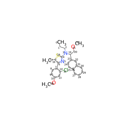 CCCN(c1nc(-c2ccc(OC)cc2Cl)c(C)s1)C(COC)c1ccc2ccccc2c1